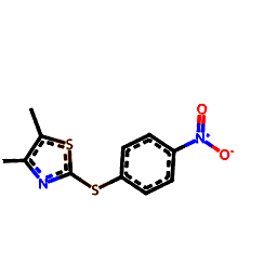 Cc1nc(Sc2ccc([N+](=O)[O-])cc2)sc1C